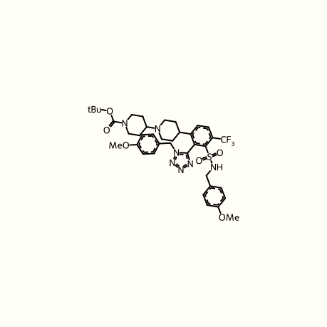 COc1ccc(CNS(=O)(=O)c2c(C(F)(F)F)ccc(C3CCN(C4CCN(C(=O)OC(C)(C)C)CC4)CC3)c2-c2nnnn2Cc2ccc(OC)cc2)cc1